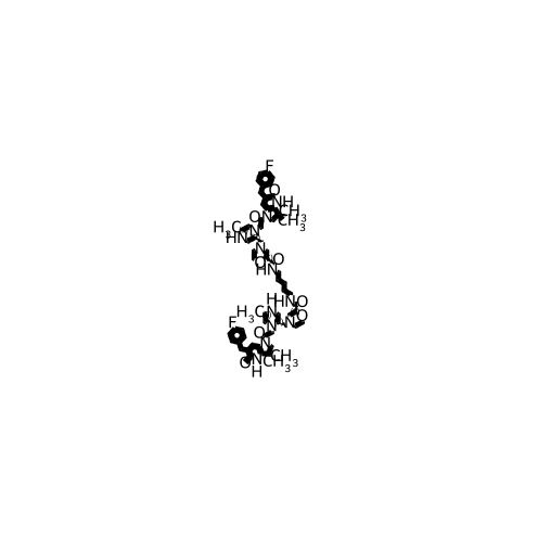 C[C@@H]1CN(CC(=O)N2CC(C)(C)c3[nH]c(=O)c(Cc4ccc(F)cc4)cc32)[C@@H](CN2CCO[C@H](C(=O)NCCCCCNC(=O)[C@@H]3CN(C[C@H]4CN[C@H](C)CN4CC(=O)N4CC(C)(C)c5[nH]c(=O)c(Cc6ccc(F)cc6)cc54)CCO3)C2)CN1